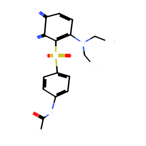 CCN(CC)C1=C(S(=O)(=O)c2ccc(NC(C)=O)cc2)C(=N)C(=N)C=C1